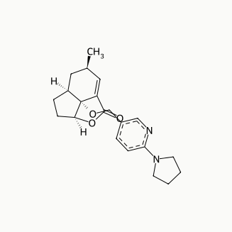 C[C@H]1C=C2C(=O)O[C@H]3CC[C@@H](C1)[C@@]23OCc1ccc(N2CCCC2)nc1